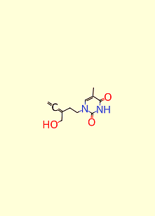 C=C=C(CO)CCn1cc(C)c(=O)[nH]c1=O